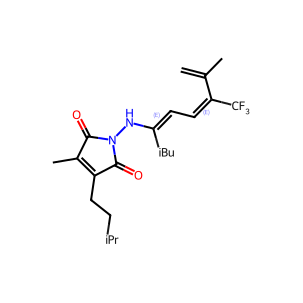 C=C(C)/C(=C\C=C(\NN1C(=O)C(C)=C(CCC(C)C)C1=O)C(C)CC)C(F)(F)F